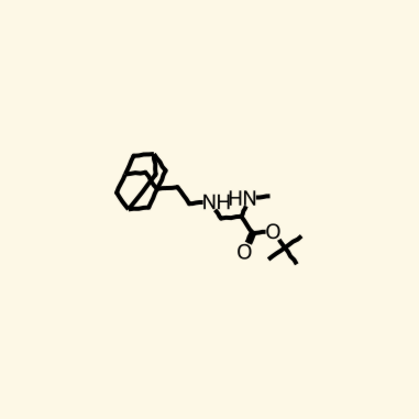 CNC(CNCCC12CC3CC(CC(C3)C1)C2)C(=O)OC(C)(C)C